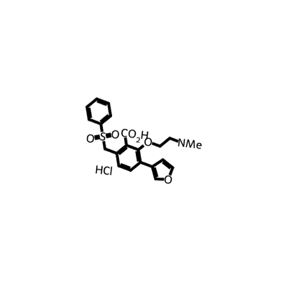 CNCCOc1c(-c2ccoc2)ccc(CS(=O)(=O)c2ccccc2)c1C(=O)O.Cl